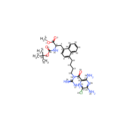 COC(=O)C(Cc1ccc(CCCCN(C(=N)N)C(=O)c2nc(Cl)c(N)nc2N)c2ccccc12)NC(=O)OC(C)(C)C